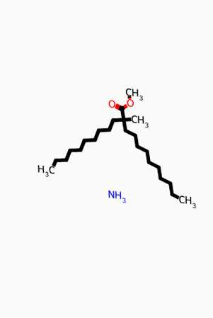 CCCCCCCCCCC(C)(CCCCCCCCCC)C(=O)OC.N